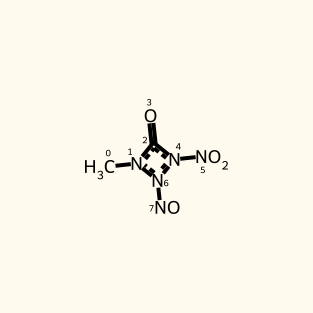 Cn1c(=O)n([N+](=O)[O-])n1N=O